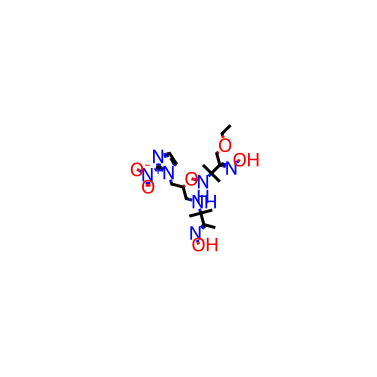 CCOC/C(=N\O)C(C)(C)NOC(CNC(C)(C)/C(C)=N/O)Cn1ccnc1[N+](=O)[O-]